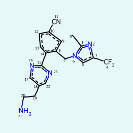 Cc1nc(C(F)(F)F)cn1Cc1cc(C#N)ccc1-c1ncc(CCN)cn1